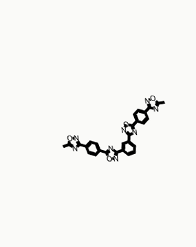 Cc1nc(-c2ccc(-c3nc(-c4cccc(-c5noc(-c6ccc(-c7noc(C)n7)cc6)n5)c4)no3)cc2)no1